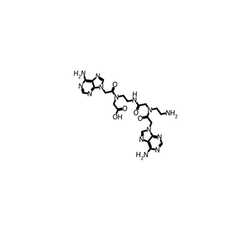 NCCN(CC(=O)NCCN(CC(=O)O)C(=O)Cn1cnc2c(N)ncnc21)C(=O)Cn1cnc2c(N)ncnc21